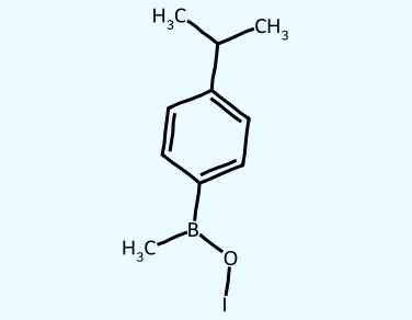 CB(OI)c1ccc(C(C)C)cc1